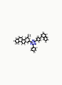 CCC1=Cc2c(ccc3c2ccc2ccccc23)C=C(c2nc(-c3ccccc3)nc(-c3ccc(-c4cccc5ccccc45)cc3)n2)C1